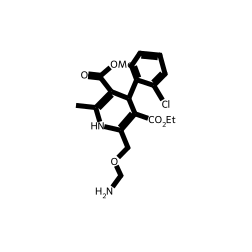 CCOC(=O)C1=C(COCN)NC(C)=C(C(=O)OC)C1c1ccccc1Cl